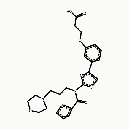 O=C(O)CCOc1cccc(-c2csc(N(CCCN3CCOCC3)C(=O)c3cccs3)n2)c1